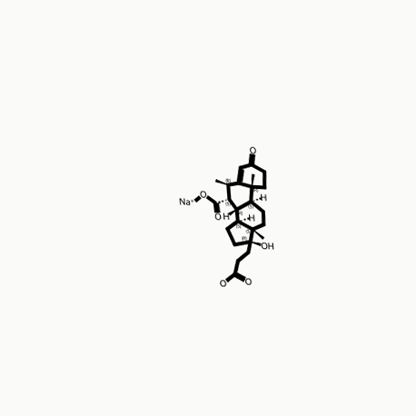 COC(=O)[C@H]1[C@@H]2[C@H](CC[C@@]3(C)[C@H]2CC[C@@]3(O)CCC(=O)[O-])[C@@]2(C)CCC(=O)C=C2[C@@H]1C.[Na+]